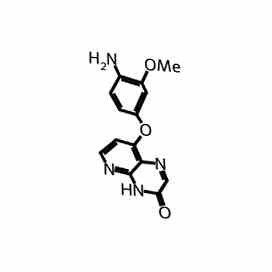 COc1cc(Oc2ccnc3[nH]c(=O)cnc23)ccc1N